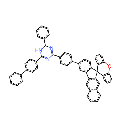 c1ccc(-c2ccc(C3=NC(c4ccc(-c5ccc6c(c5)-c5cc7ccccc7cc5C65c6ccccc6Oc6ccccc65)cc4)=NC(c4ccccc4)N3)cc2)cc1